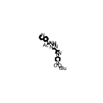 CC(=O)N(Nc1ncc(-c2cnn(C3CCN(C(=O)OC(C)(C)C)CC3)c2)nn1)c1ccc2ncccc2c1